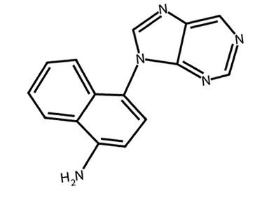 Nc1ccc(-n2cnc3cncnc32)c2ccccc12